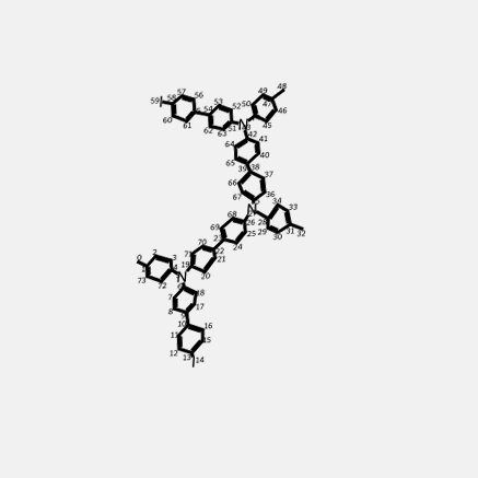 Cc1ccc(N(c2ccc(-c3ccc(I)cc3)cc2)c2ccc(-c3ccc(N(c4ccc(C)cc4)c4ccc(-c5ccc(N(c6ccc(C)cc6)c6ccc(-c7ccc(I)cc7)cc6)cc5)cc4)cc3)cc2)cc1